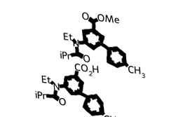 CCN(C(=O)C(C)C)c1cc(C(=O)O)cc(-c2ccc(C)cc2)c1.CCN(C(=O)C(C)C)c1cc(C(=O)OC)cc(-c2ccc(C)cc2)c1